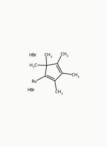 Br.Br.CC1=C(C)C(C)(C)[C]([Ru])=C1C